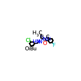 C/C=C/C(=N\NCc1cc(Cl)ccc1OCC(C)C)NC(=O)c1cc(F)ccc1C